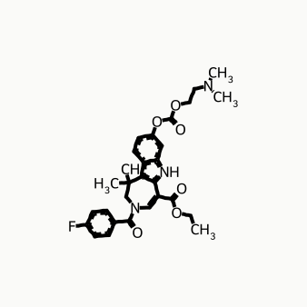 CCOC(=O)C1=CN(C(=O)c2ccc(F)cc2)CC(C)(C)c2c1[nH]c1cc(OC(=O)OCCN(C)C)ccc21